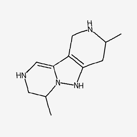 CC1CC2=C(CN1)C1=CNCC(C)N1N2